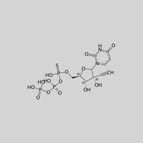 C#C[C@]1(O)C(n2ccc(=O)[nH]c2=O)O[C@H](COP(O)(=S)OP(=O)(O)OP(=O)(O)O)[C@H]1O